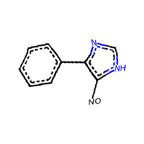 O=Nc1[nH]cnc1-c1ccccc1